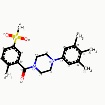 Cc1ccc(S(C)(=O)=O)cc1C(=O)N1CCN(c2cc(C)c(C)c(C)c2)CC1